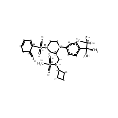 CC(O)(c1ccc(N2CCN(S(=O)(=O)C3=CC=CCC3=S)C[C@@H]2CN(C2CCC2)S(C)(=O)=O)cc1)C(F)(F)F